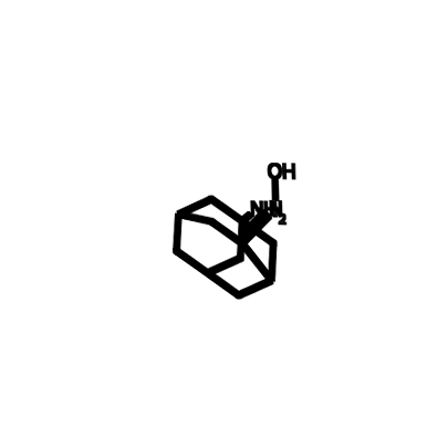 NC12CC3CC(=NO)C(CC(C3)C1)C2